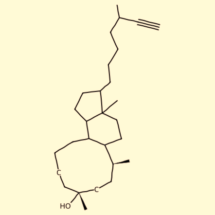 C#CC(C)CCCCC1CCC2C3CCCC[C@@](C)(O)CC[C@H](C)C3CCC12C